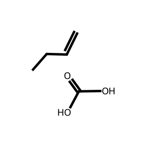 C=CCC.O=C(O)O